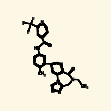 CCN1Cc2nncn2-c2cc(-c3cc(NC(=O)c4ccnc(C(F)(F)F)c4)ccc3C)cnc2C1=O